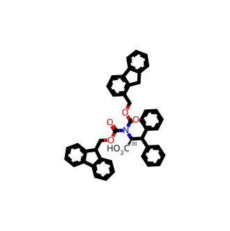 O=C(O)[C@H](C(c1ccccc1)c1ccccc1)N(C(=O)OCc1cccc2c1Cc1ccccc1-2)C(=O)OCC1c2ccccc2-c2ccccc21